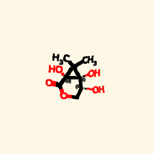 CC1(C)[C@]2(O)C(=O)OC[C@@H](O)[C@]12O